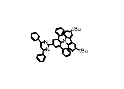 CC(C)(C)c1ccc2c(c1)c1cc(C(C)(C)C)ccc1n2-c1c(-c2ccccc2)cc(-c2nc(-c3ccccc3)cc(-c3ccccc3)n2)cc1-c1ccccc1